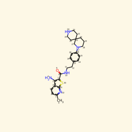 Cc1ccc2c(N)c(C(=O)NCCc3ccc(N4CCCC5(CCNCC5)C4)cc3)sc2n1